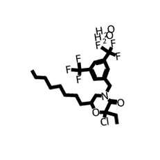 CCCCCCCCC1CN(Cc2cc(C(F)(F)F)cc(C(F)(F)F)c2)C(=O)C(Cl)(CC)O1.O.O